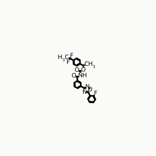 CC(OC(=O)NC(=O)c1cccc(-c2noc(-c3ccccc3F)n2)c1)c1ccc(C(C)(F)F)cc1